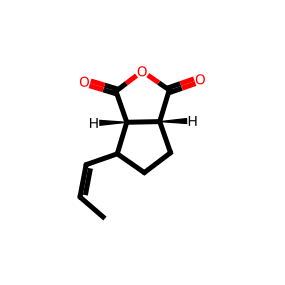 C/C=C\C1CC[C@H]2C(=O)OC(=O)[C@@H]12